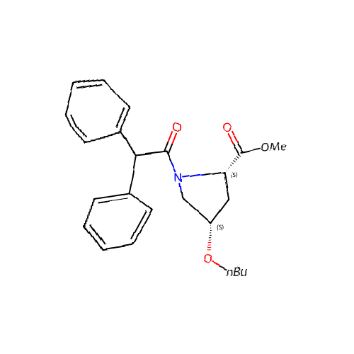 CCCCO[C@H]1C[C@@H](C(=O)OC)N(C(=O)C(c2ccccc2)c2ccccc2)C1